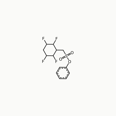 O=S(=O)(CC1C(F)C(F)CC(F)C1F)Oc1ccccc1